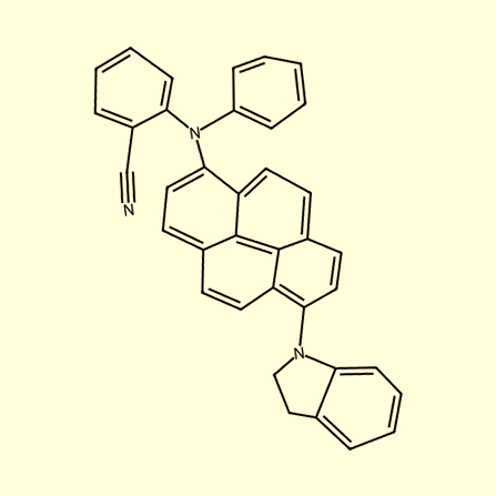 N#Cc1ccccc1N(c1ccccc1)c1ccc2ccc3c(N4CCc5ccccc54)ccc4ccc1c2c43